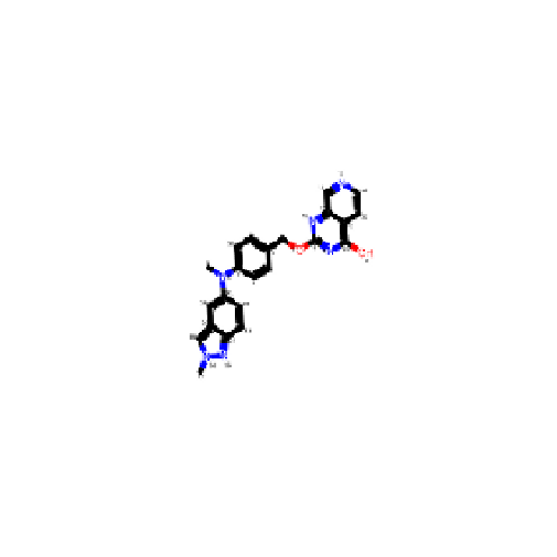 CN(c1ccc(COc2nc(O)c3ccncc3n2)cc1)c1ccc2nn(C)cc2c1